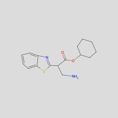 NCC(C(=O)OC1CCCCC1)c1nc2ccccc2s1